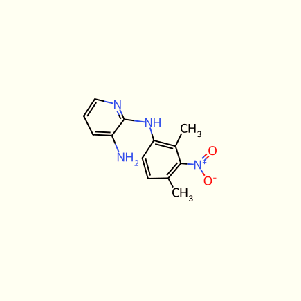 Cc1ccc(Nc2ncccc2N)c(C)c1[N+](=O)[O-]